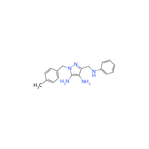 Cc1ccc(Cn2nc(CNc3ccccc3)c(N)c2N)cc1